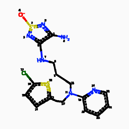 Nc1n[s+]([O-])nc1NCCCN(Cc1ccc(Cl)s1)c1ccccn1